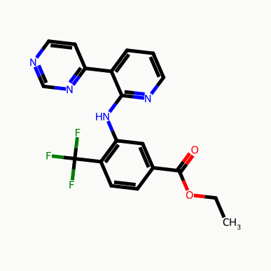 CCOC(=O)c1ccc(C(F)(F)F)c(Nc2ncccc2-c2ccncn2)c1